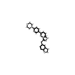 c1cc2c(cc1Cc1nnc3ccc(-c4ccc(N5CCOCC5)nc4)nn13)CCO2